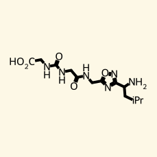 CC(C)CC(N)c1noc(CNC(=O)CNC(=O)NCC(=O)O)n1